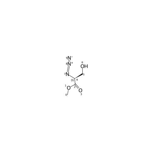 COC(=O)[C@H](CO)N=[N+]=[N-]